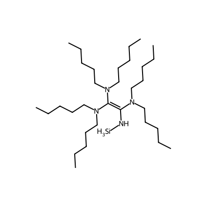 CCCCCN(CCCCC)C(N[SiH3])=C(N(CCCCC)CCCCC)N(CCCCC)CCCCC